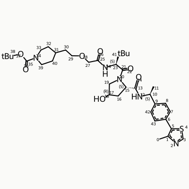 Cc1ncsc1-c1ccc([C@H](C)NC(=O)[C@@H]2C[C@@H](O)CN2C(=O)[C@@H](NC(=O)COCCC2CCN(C(=O)OC(C)(C)C)CC2)C(C)(C)C)cc1